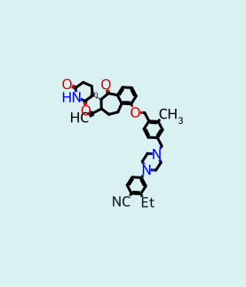 C#CC1CCc2c(OCc3ccc(CN4CCN(c5ccc(C#N)c(CC)c5)CC4)cc3C)cccc2C(=O)C1[C@H]1CCC(=O)NC1=O